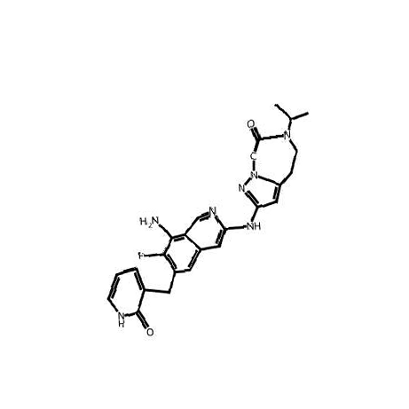 CC(C)N1CCc2cc(Nc3cc4cc(Cc5ccc[nH]c5=O)c(F)c(N)c4cn3)nn2CC1=O